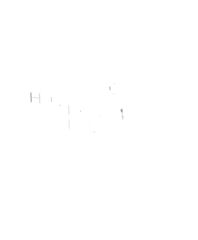 C[CH]CCC1C(C)C=CCC1(C)C